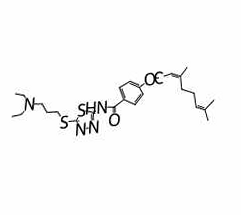 CCN(CC)CCCSc1nnc(NC(=O)c2ccc(OCC=C(C)CCC=C(C)C)cc2)s1